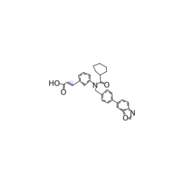 O=C(O)/C=C/c1cccc(N(Cc2ccc(-c3ccc4ncoc4c3)cc2)C(=O)C2CCCCC2)c1